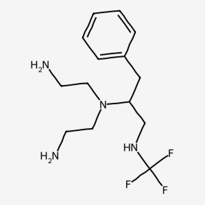 NCCN(CCN)C(CNC(F)(F)F)Cc1ccccc1